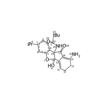 CC(C)c1ccc2c(c1)OC1(O)C3=CCCC(N)=C3C(=O)C21NC(=O)C(C)(C)C